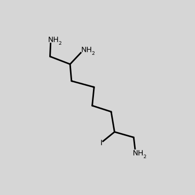 NCC(N)CCCCC(I)CN